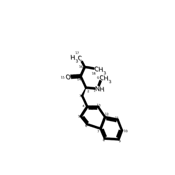 CN[C@@H](Cc1ccc2ccccc2c1)C(=O)C(C)C